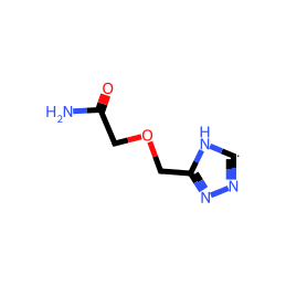 NC(=O)COCc1nn[c][nH]1